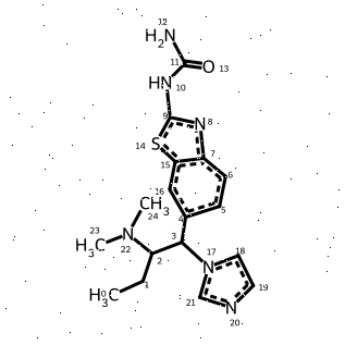 CCC(C(c1ccc2nc(NC(N)=O)sc2c1)n1ccnc1)N(C)C